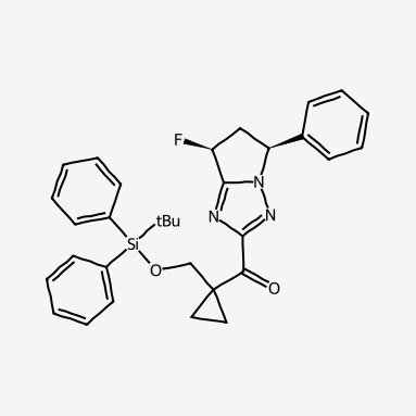 CC(C)(C)[Si](OCC1(C(=O)c2nc3n(n2)[C@H](c2ccccc2)C[C@@H]3F)CC1)(c1ccccc1)c1ccccc1